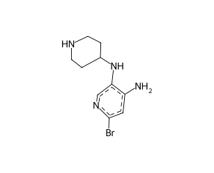 Nc1cc(Br)ncc1NC1CCNCC1